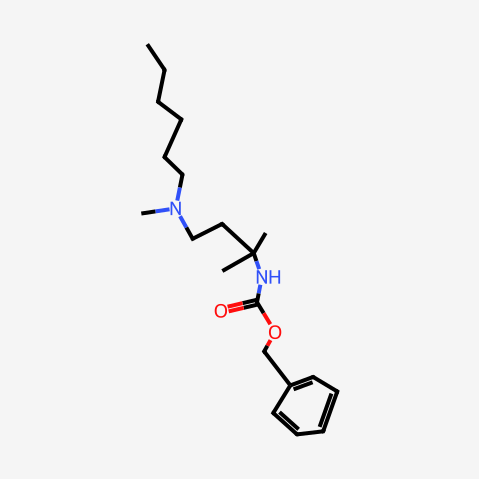 CCCCCCN(C)CCC(C)(C)NC(=O)OCc1ccccc1